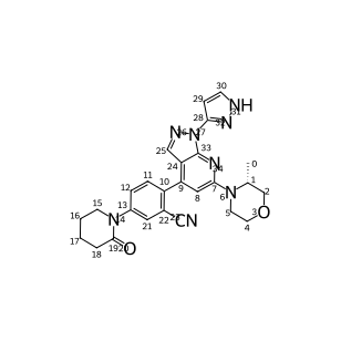 C[C@@H]1COCCN1c1cc(-c2ccc(N3CCCCC3=O)cc2C#N)c2cnn(-c3cc[nH]n3)c2n1